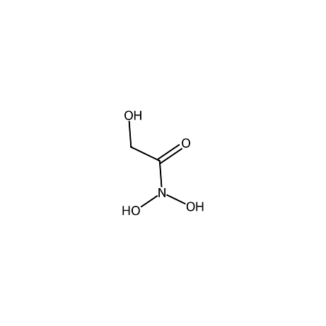 O=C(CO)N(O)O